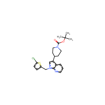 CC(C)(C)OC(=O)N1CCC(c2cn(Cc3ccc(Cl)s3)c3ncccc23)CC1